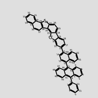 c1ccc(-c2c3ccccc3c(-c3ccc(-c4ccc5c(c4)oc4c5ccc5sc6c7ccccc7ccc6c54)c4ccccc34)c3ccccc23)cc1